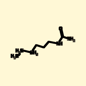 NC(=O)NCCC[SiH2][SiH2][SiH3]